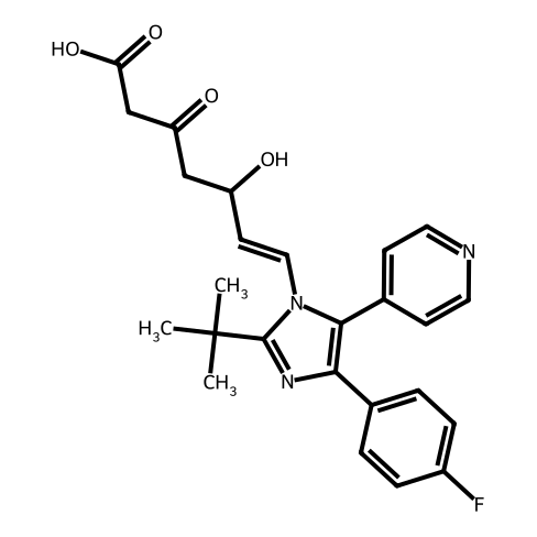 CC(C)(C)c1nc(-c2ccc(F)cc2)c(-c2ccncc2)n1/C=C/C(O)CC(=O)CC(=O)O